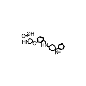 CN(C)C1(c2ccccc2)CCC(NCc2cccc(O[C@@H]3CN[C@H](C(=O)O)C3)c2)CC1